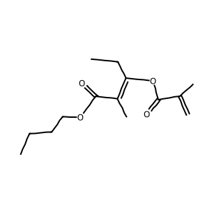 C=C(C)C(=O)OC(CC)=C(C)C(=O)OCCCC